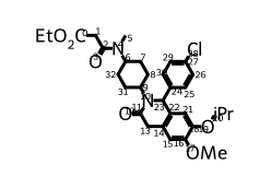 CCOC(=O)CC(=O)N(C)C1CCC(N2C(=O)Cc3cc(OC)c(OC(C)C)cc3C2c2ccc(Cl)cc2)CC1